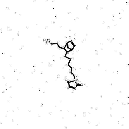 CCCCC1C2C=CC(C2)C1CCCCCCN1C(=O)C=CC1=O